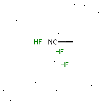 CC#N.F.F.F